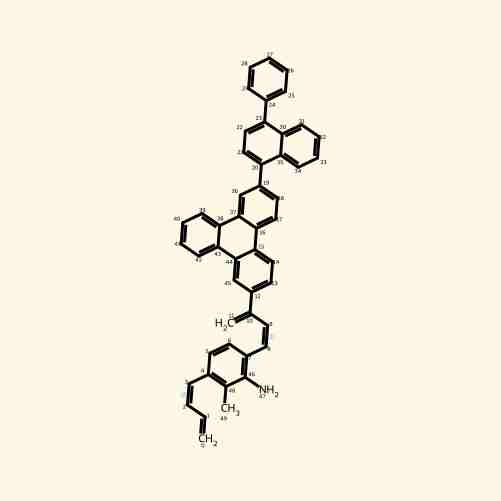 C=C/C=C\c1ccc(/C=C\C(=C)c2ccc3c4ccc(-c5ccc(-c6ccccc6)c6ccccc56)cc4c4ccccc4c3c2)c(N)c1C